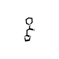 O=C(Cc1nccs1)N1CCCCC1